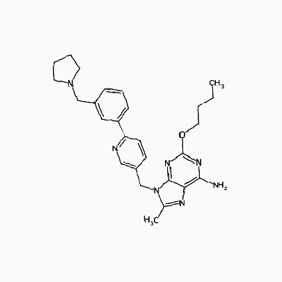 CCCCOc1nc(N)c2nc(C)n(Cc3ccc(-c4cccc(CN5CCCC5)c4)nc3)c2n1